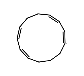 [C]1=CC=CCCC=CC=CCCC1